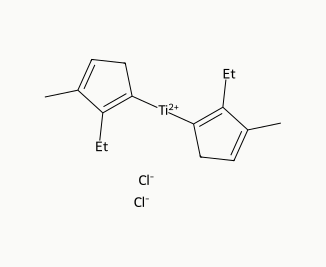 CCC1=[C]([Ti+2][C]2=C(CC)C(C)=CC2)CC=C1C.[Cl-].[Cl-]